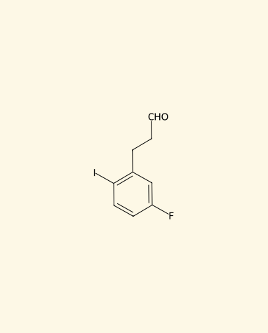 O=CCCc1cc(F)ccc1I